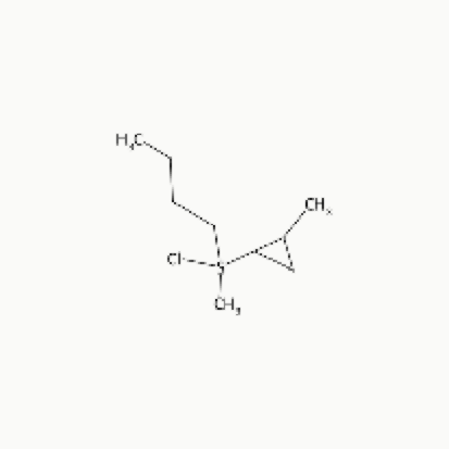 CCCCS(C)(Cl)C1CC1C